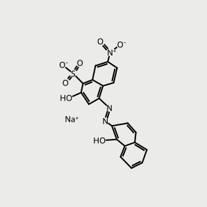 O=[N+]([O-])c1ccc2c(N=Nc3ccc4ccccc4c3O)cc(O)c(S(=O)(=O)[O-])c2c1.[Na+]